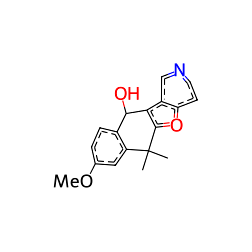 COc1ccc2c(c1)C(C)(C)c1oc3ccncc3c1C2O